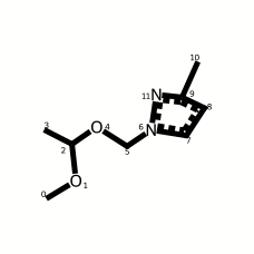 COC(C)OCn1ccc(C)n1